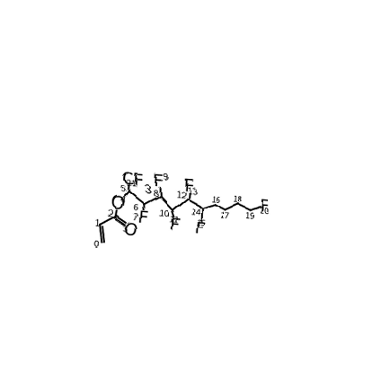 C=CC(=O)OC(C(F)C(F)C(F)C(F)C(F)CCCCF)C(F)(F)F